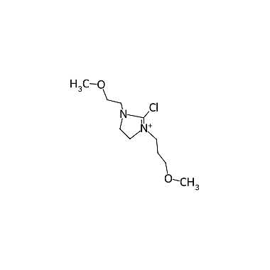 COCCC[N+]1=C(Cl)N(CCOC)CC1